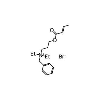 CC=CC(=O)OCCC[N+](CC)(CC)Cc1ccccc1.[Br-]